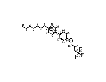 CCCCCCCC12CCC(c3ccc(OCC=CC(F)(F)F)cc3)(CC1)CC2